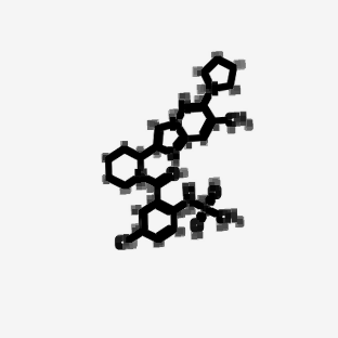 Cc1cc2nc(C3CCCCN3C(=O)c3cc(Cl)ccc3NS(C)(=O)=O)cn2nc1N1CCCC1